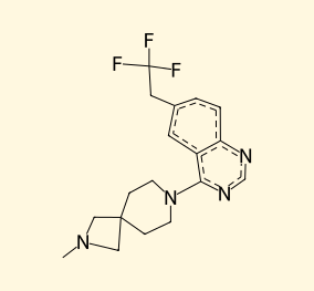 CN1CC2(CCN(c3ncnc4ccc(CC(F)(F)F)cc34)CC2)C1